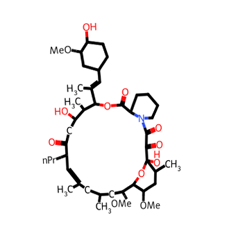 CCCC1/C=C(/C)CC(C)CC(OC)C2OC(O)(C(=O)C(=O)N3CCCCC3C(=O)OC(/C(C)=C/C3CCC(O)C(OC)C3)C(C)C(O)CC1=O)C(C)CC2OC